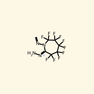 C=NN1/C(=N\N)C(F)(F)C(F)(F)C(F)(F)C(F)(F)C1(F)F